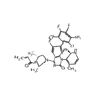 C=CC(=O)N1[C@H](C)CN(c2nc(=O)n(C3=C(C)C=CN[C@@H]3C(C)C)c3nc(-c4c(Cl)c(N)c(F)c(F)c4Cl)c(F)cc23)C[C@@H]1C